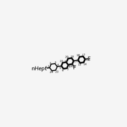 CCCCCCCC1CCC(c2ccc3c(F)c(-c4ccc(F)cc4)ccc3c2)CC1